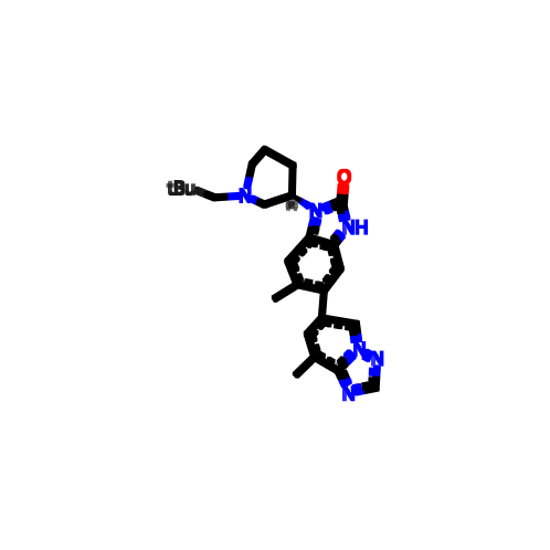 Cc1cc2c(cc1-c1cc(C)c3ncnn3c1)[nH]c(=O)n2[C@@H]1CCCN(CC(C)(C)C)C1